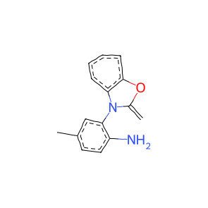 C=C1Oc2ccccc2N1c1cc(C)ccc1N